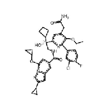 CCOc1c(CC(N)=O)cc([C@@](O)(CNC(=O)c2cc(OC3CC3)n3nc(C4CC4)cc3c2)C2CCC2)nc1-c1ccc(F)c(Cl)c1